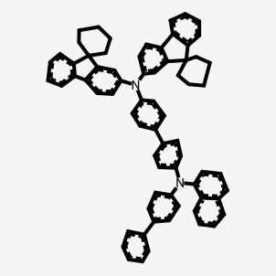 c1ccc(-c2ccc(N(c3ccc(-c4ccc(N(c5ccc6c(c5)C5(CCCCC5)c5ccccc5-6)c5ccc6c(c5)C5(CCCCC5)c5ccccc5-6)cc4)cc3)c3cccc4ccccc34)cc2)cc1